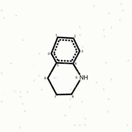 [c]1cccc2c1CCCN2